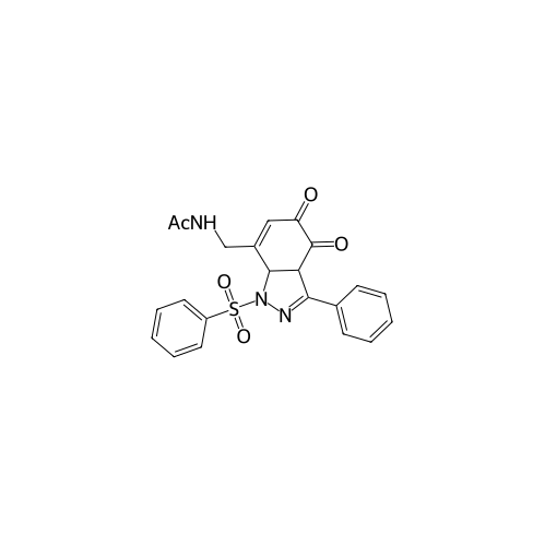 CC(=O)NCC1=CC(=O)C(=O)C2C(c3ccccc3)=NN(S(=O)(=O)c3ccccc3)C12